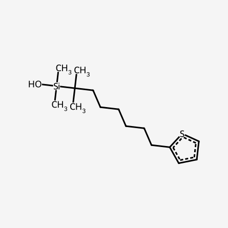 CC(C)(CCCCCCc1cccs1)[Si](C)(C)O